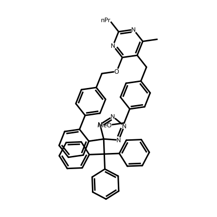 CCCc1nc(C)c(Cc2ccc(COC)cc2)c(OCc2ccc(-c3ccccc3C3(C(c4ccccc4)(c4ccccc4)c4ccccc4)N=NN=N3)cc2)n1